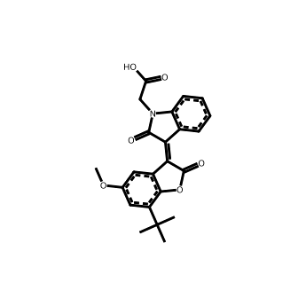 COc1cc2c(c(C(C)(C)C)c1)OC(=O)C2=C1C(=O)N(CC(=O)O)c2ccccc21